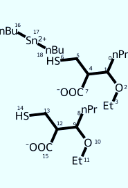 CCCC(OCC)C(CS)C(=O)[O-].CCCC(OCC)C(CS)C(=O)[O-].CCC[CH2][Sn+2][CH2]CCC